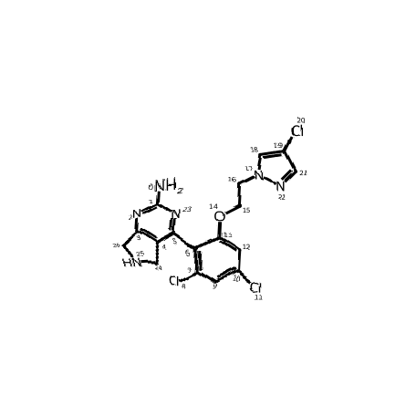 Nc1nc2c(c(-c3c(Cl)cc(Cl)cc3OCCn3cc(Cl)cn3)n1)CNC2